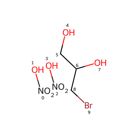 O=[N+]([O-])O.O=[N+]([O-])O.OCC(O)CBr